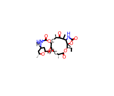 CC[C@H]1OC(=O)[C@H](C)C[C@H](C)[C@H]2O[C@H]3C[C@H](C[C@@H](C)O3)N(C)NC(=O)O[C@]2(C)C[C@@H](C)C(=O)C(C)C2NC(=O)O[C@@]21C